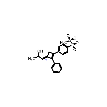 CC(O)/C=C1\CC(c2ccc(S(=O)(=O)S(C)(=O)=O)cc2)=C1c1ccccc1